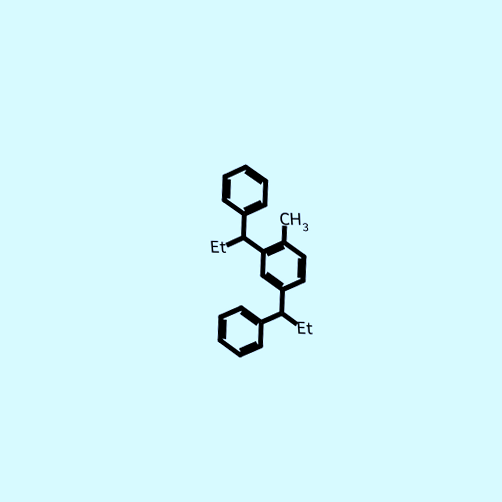 CCC(c1ccccc1)c1ccc(C)c(C(CC)c2ccccc2)c1